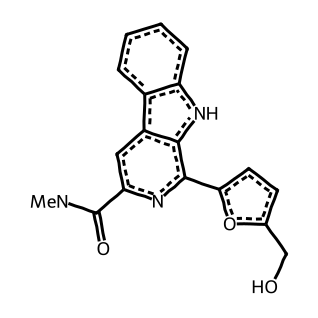 CNC(=O)c1cc2c([nH]c3ccccc32)c(-c2ccc(CO)o2)n1